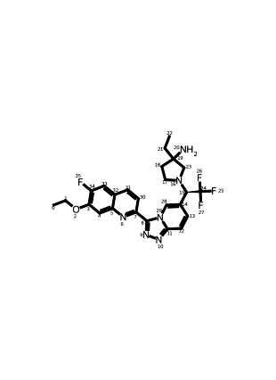 CCOc1cc2nc(-c3nnc4ccc([C@@H](N5CCC(N)(CC)C5)C(F)(F)F)cn34)ccc2cc1F